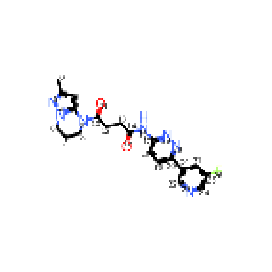 Cc1cc2n(n1)CCCN2C(=O)CCC(=O)Nc1ccc(-c2cncc(F)c2)nn1